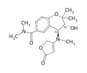 CN(C)C(=O)c1ccc2c(c1)[C@H](N(C)C1=CC(=O)OC1)[C@@H](O)C(C)(C)O2